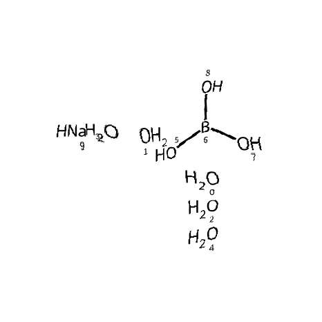 O.O.O.O.O.OB(O)O.[NaH]